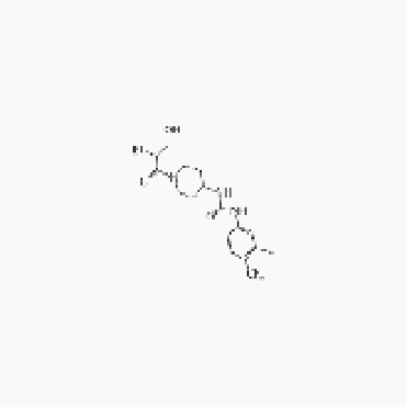 CCC(CO)C(=O)N1CCC(NC(=O)Nc2ccc(C(F)(F)F)c(F)c2)CC1